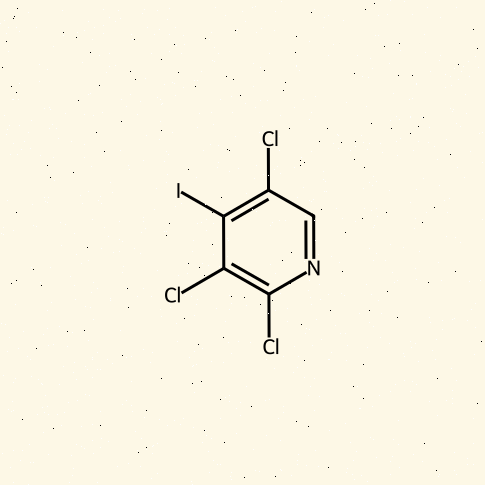 Clc1cnc(Cl)c(Cl)c1I